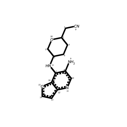 N#CCC1CCC(Nc2c(N)cnc3ccoc23)CO1